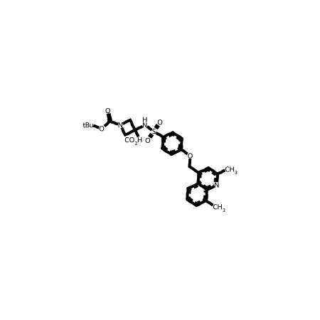 Cc1cc(COc2ccc(S(=O)(=O)NC3(C(=O)O)CN(C(=O)OC(C)(C)C)C3)cc2)c2cccc(C)c2n1